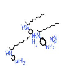 CCCCCCCCCC(C)Nc1ccc(N)cc1.CCCCCCCCCC(C)Nc1ccc(N)cc1.CCCCCCCCCC(C)Nc1ccc(N)cc1.c1ncncn1